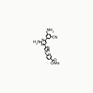 COC(=O)c1ccc(Cn2cc(-c3cc(-c4cc(C#N)cc(CN)c4)nc(N)n3)nn2)nc1